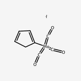 O=[C]=[Mo](=[C]=O)(=[C]=O)[C]1=CC=CC1.[I]